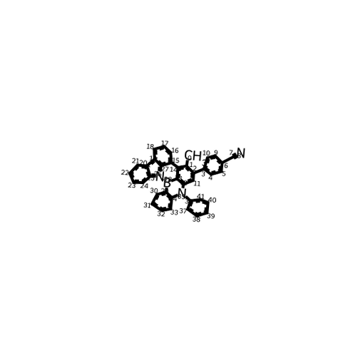 Cc1c(-c2ccc(C#N)cc2)cc2c3c1-c1cccc4c5ccccc5n(c14)B3c1ccccc1N2c1ccccc1